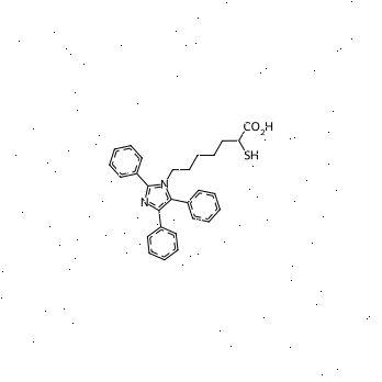 O=C(O)C(S)CCCCCn1c(-c2ccccc2)nc(-c2ccccc2)c1-c1ccccc1